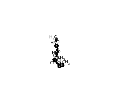 COCC(=O)Nc1ccc(C=CC(=O)NCC(=O)N(C)c2ccc(Cl)c(COc3cccc4ccc(C)nc34)c2Cl)cc1